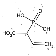 C=CC(C(=O)O)P(=O)(O)O